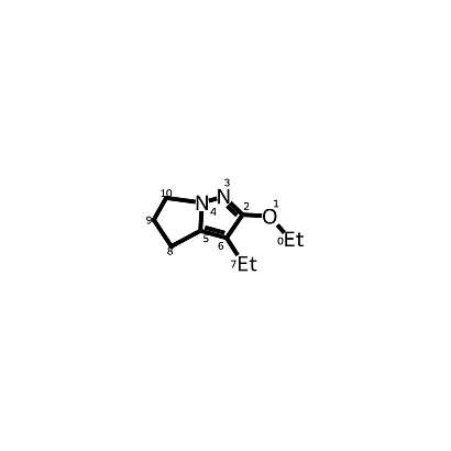 CCOc1nn2c(c1CC)CCC2